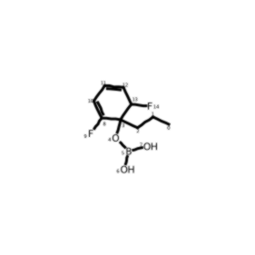 CCCC1(OB(O)O)C(F)=CC=CC1F